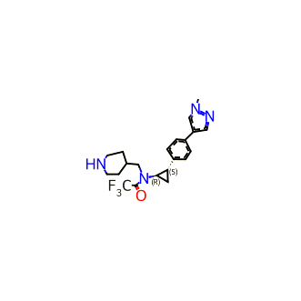 Cn1cc(-c2ccc([C@@H]3C[C@H]3N(CC3CCNCC3)C(=O)C(F)(F)F)cc2)cn1